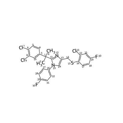 CC(C)(c1ccc(Cl)c(Cl)c1)c1nc(CSc2ccc(F)cc2Cl)cn1-c1ccc(F)cc1